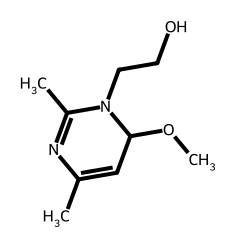 COC1C=C(C)N=C(C)N1CCO